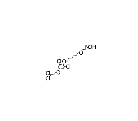 O/N=C/COCCCCCCOc1c(Cl)cc(OCC=C(Cl)Cl)cc1Cl